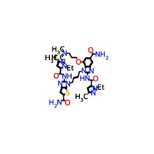 CCn1nc(C)cc1C(=O)Nc1nc2cc(C(N)=O)sc2n1C/C=C/Cn1c(NC(=O)c2cc(C)nn2CC)nc2cc(C(N)=O)cc(OCCCN(C)C)c21